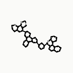 c1cc(-c2ccc3c4ccc(-c5cc6cccnc6c6ncccc56)cc4c4ccccc4c3c2)cc(-c2nc3ccccc3c3c2ccc2ccccc23)c1